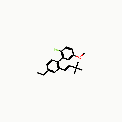 CCc1ccc(-c2cc(OC)ccc2F)c(/C=C/C(C)(C)C)c1